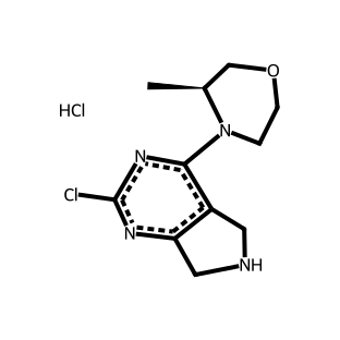 C[C@H]1COCCN1c1nc(Cl)nc2c1CNC2.Cl